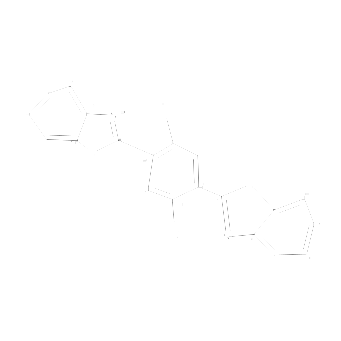 Clc1cc(-c2nc3ccccc3s2)c(Cl)cc1-c1nc2ccccc2s1